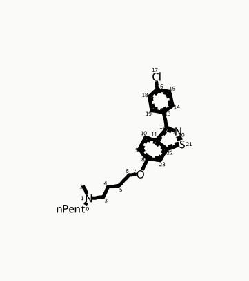 CCCCCN(C)CCCCOc1ccc2c(-c3ccc(Cl)cc3)nsc2c1